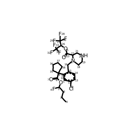 CCCC(F)OC(=O)C1(c2cc(Cl)ccc2CN2CCNCC2C(=O)OC(C(F)(F)F)C(F)(F)F)CCCC1